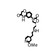 COC1=NC=CC(CCNCC[C@@H]2CN(c3ccc4c(c3)NC(=O)CO4)C(=O)O2)C1